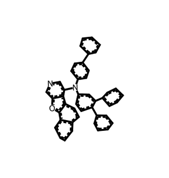 c1ccc(-c2ccc(N(c3ccc(-c4ccccc4)c(-c4ccccc4)c3)c3cncc4oc5c6ccccc6ccc5c34)cc2)cc1